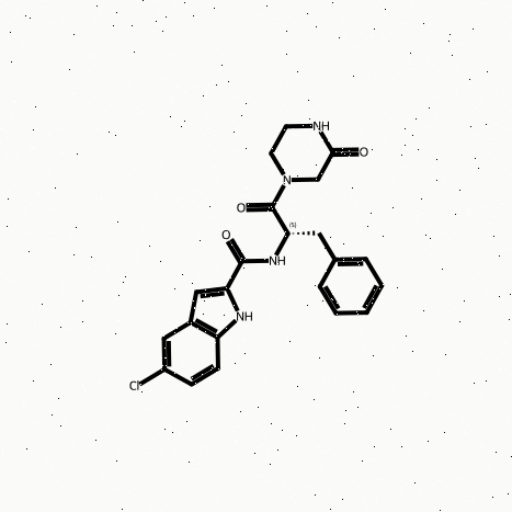 O=C1CN(C(=O)[C@H](Cc2ccccc2)NC(=O)c2cc3cc(Cl)ccc3[nH]2)CCN1